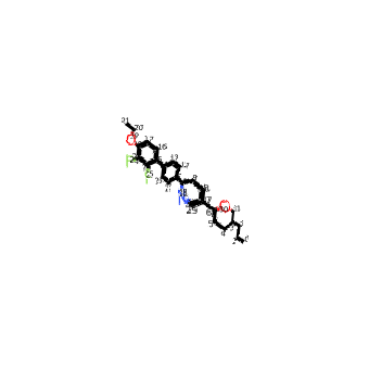 CCCC1CCC(c2ccc(-c3ccc(-c4ccc(OCC)c(F)c4F)cc3)nc2)OC1